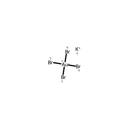 [Br][Au-]([Br])([Br])[Br].[K+]